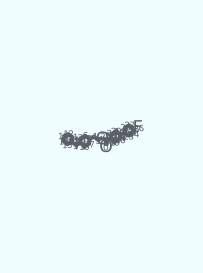 O=C(OCCC1CCN(Cc2ccccc2)CC1)N1CCN(c2ccc(F)cc2)CC1